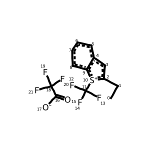 CCc1cc2ccccc2[s+]1C(F)(F)F.O=C([O-])C(F)(F)F